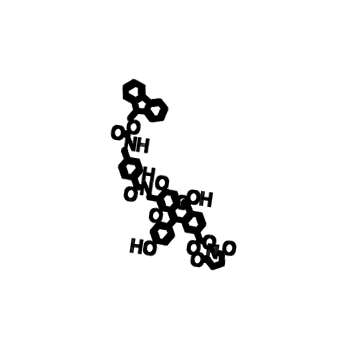 O=C(NCc1ccc(C(=O)NCc2c3oc4cc(O)ccc4c(-c4cc(C(=O)ON5C(=O)CCC5=O)ccc4C(=O)O)c-3ccc2=O)cc1)OCC1c2ccccc2-c2ccccc21